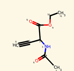 C#CC(NC(C)=O)C(=O)OCC